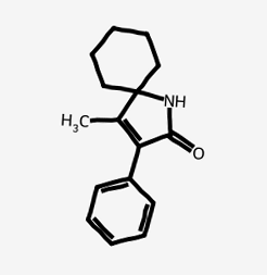 CC1=C(c2ccccc2)C(=O)NC12CCCCC2